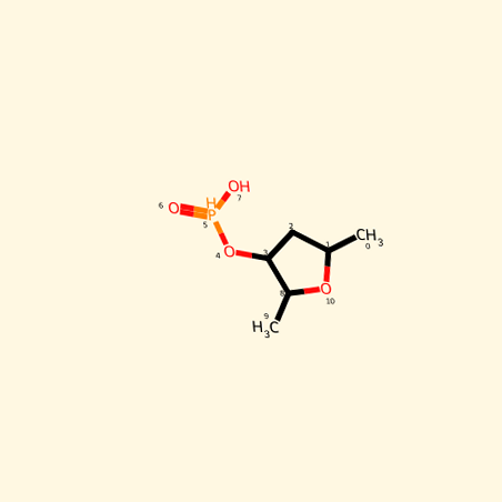 CC1CC(O[PH](=O)O)C(C)O1